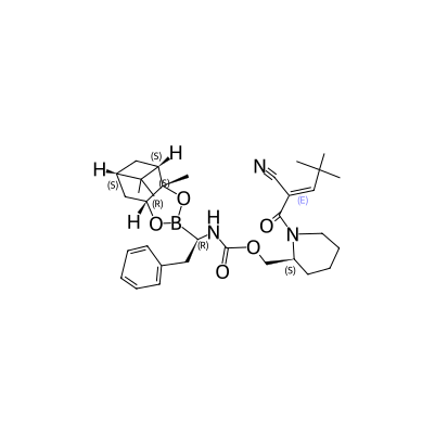 CC(C)(C)/C=C(\C#N)C(=O)N1CCCC[C@H]1COC(=O)N[C@@H](Cc1ccccc1)B1O[C@@H]2C[C@@H]3C[C@@H](C3(C)C)[C@]2(C)O1